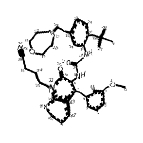 COc1cccc(-c2c(NC(=O)Nc3cc(CN4CCOCC4)ccc3C(C)(C)C)c(=O)n(CCCC#N)c3ncccc23)c1